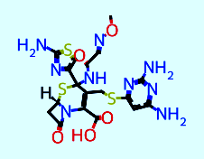 CON=CC(=O)NC1(c2csc(N)n2)S[C@H]2CC(=O)N2C(C(=O)O)=C1CSc1cc(N)nc(N)n1